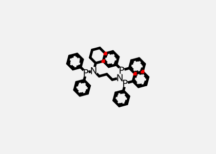 c1ccc(P(c2ccccc2)N(CCCN(P(c2ccccc2)c2ccccc2)P(c2ccccc2)c2ccccc2)C2CCCCC2)cc1